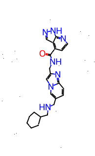 O=C(NCc1cn2cc(CNCC3CCCCC3)ccc2n1)c1ccnc2[nH]ncc12